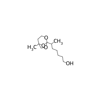 CC(CCCCCO)C12OCCC(C)(CO1)O2